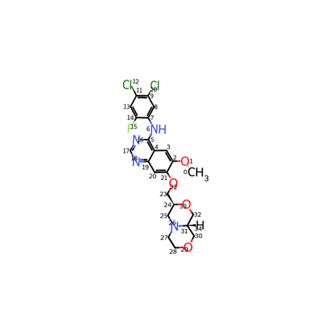 COc1cc2c(Nc3cc(Cl)c(Cl)cc3F)ncnc2cc1OC[C@@H]1CN2CCOC[C@H]2CO1